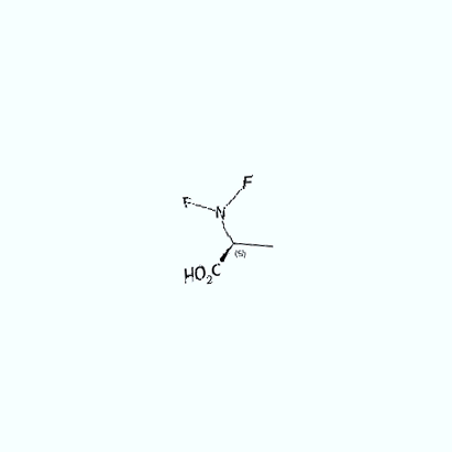 C[C@@H](C(=O)O)N(F)F